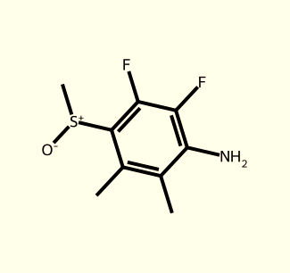 Cc1c(C)c([S+](C)[O-])c(F)c(F)c1N